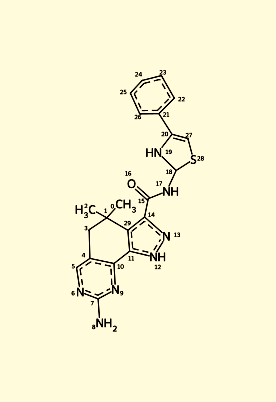 CC1(C)Cc2cnc(N)nc2-c2[nH]nc(C(=O)NC3NC(c4ccccc4)=CS3)c21